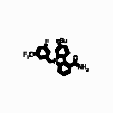 CCCCc1c[c]c2c3c(C(N)=O)cccc3n(Cc3cc(F)cc(C(F)(F)F)c3)c2c1